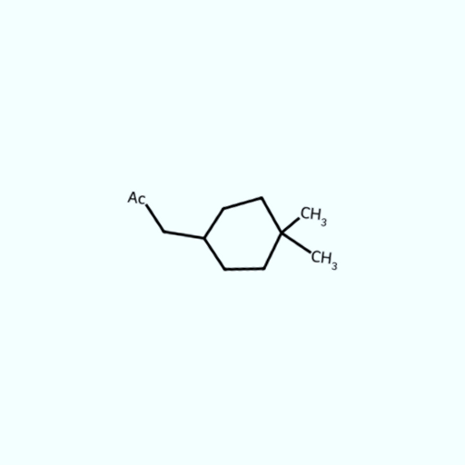 CC(=O)CC1CCC(C)(C)CC1